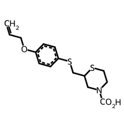 C=CCOc1ccc(SCC2CN(C(=O)O)CCS2)cc1